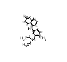 CCN(CC)Cc1cc(Nc2ccnc3cc(F)ccc23)ccc1C